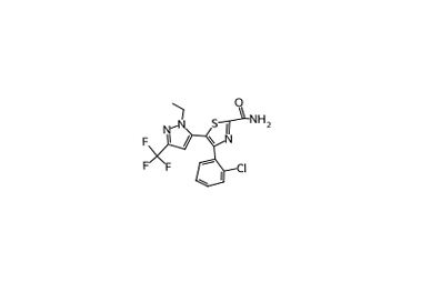 CCn1nc(C(F)(F)F)cc1-c1sc(C(N)=O)nc1-c1ccccc1Cl